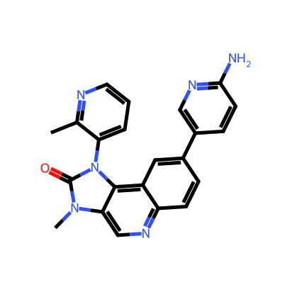 Cc1ncccc1-n1c(=O)n(C)c2cnc3ccc(-c4ccc(N)nc4)cc3c21